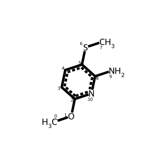 COc1ccc(SC)c(N)n1